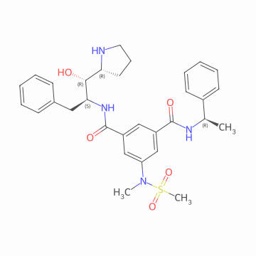 C[C@@H](NC(=O)c1cc(C(=O)N[C@@H](Cc2ccccc2)[C@H](O)[C@H]2CCCN2)cc(N(C)S(C)(=O)=O)c1)c1ccccc1